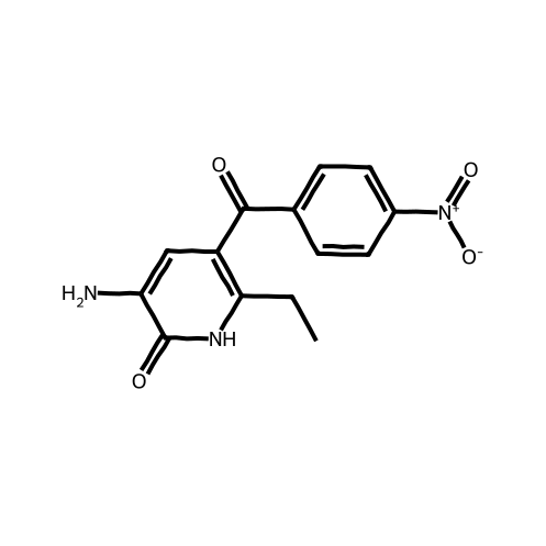 CCc1[nH]c(=O)c(N)cc1C(=O)c1ccc([N+](=O)[O-])cc1